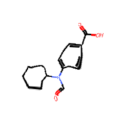 O=CN(c1ccc(C(=O)O)cc1)C1CCCCC1